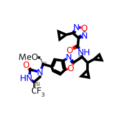 COC[C@H](c1ccc2oc([C@@H](NC(=O)c3nonc3C3CC3)C(C3CC3)C3CC3)nc2c1)N1C[C@@H](C(F)(F)F)NC1=O